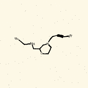 CC(C)C#CCN1CCOC(CNCC(C)(C)C)C1